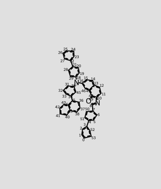 c1ccc(-c2ccc(-c3nc4ccc5ccc(N(c6ccc(-c7ccccc7)cc6)c6cccc(-c7cccc8ccccc78)c6)cc5c4o3)cc2)cc1